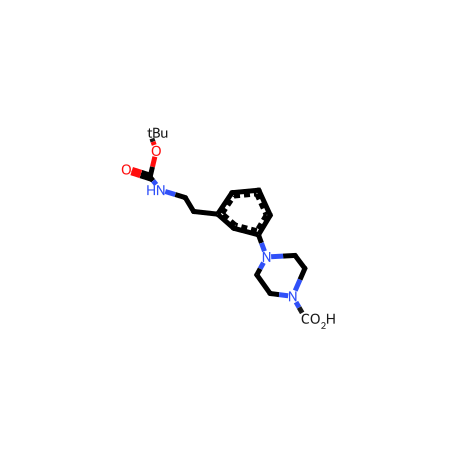 CC(C)(C)OC(=O)NCCc1cccc(N2CCN(C(=O)O)CC2)c1